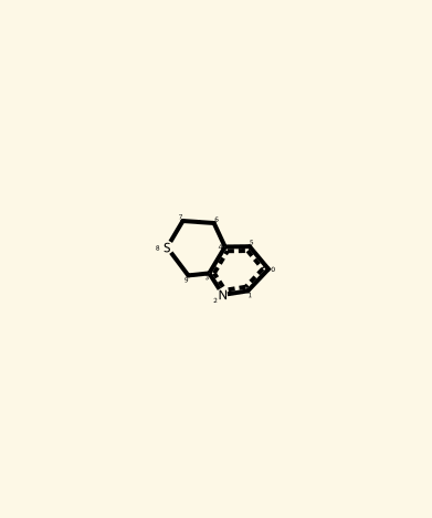 c1cnc2c(c1)CCSC2